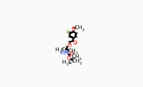 COc1ccc(C(=O)COCC(C)(C)NC(=O)OC(C)(C)C)cc1F